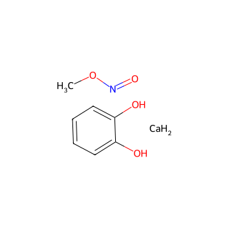 CON=O.Oc1ccccc1O.[CaH2]